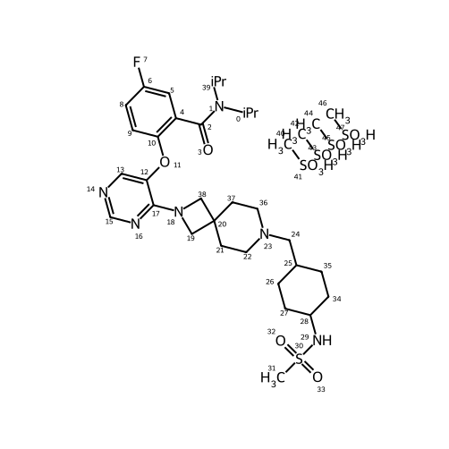 CC(C)N(C(=O)c1cc(F)ccc1Oc1cncnc1N1CC2(CCN(CC3CCC(NS(C)(=O)=O)CC3)CC2)C1)C(C)C.CS(=O)(=O)O.CS(=O)(=O)O.CS(=O)(=O)O.CS(=O)(=O)O